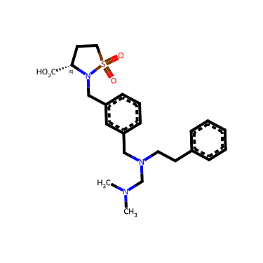 CN(C)CN(CCc1ccccc1)Cc1cccc(CN2[C@H](C(=O)O)CCS2(=O)=O)c1